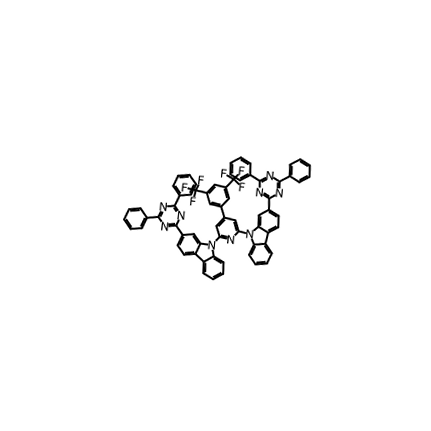 FC(F)(F)c1cc(-c2cc(-n3c4ccccc4c4ccc(-c5nc(-c6ccccc6)nc(-c6ccccc6)n5)cc43)nc(-n3c4ccccc4c4ccc(-c5nc(-c6ccccc6)nc(-c6ccccc6)n5)cc43)c2)cc(C(F)(F)F)c1